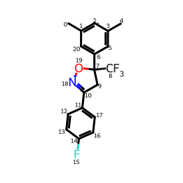 Cc1[c]c(C)cc(C2(C(F)(F)F)CC(c3ccc(F)cc3)=NO2)c1